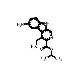 CCc1c(C(=O)OC(C)C)ncc2[nH]c3ccc(N)cc3c12